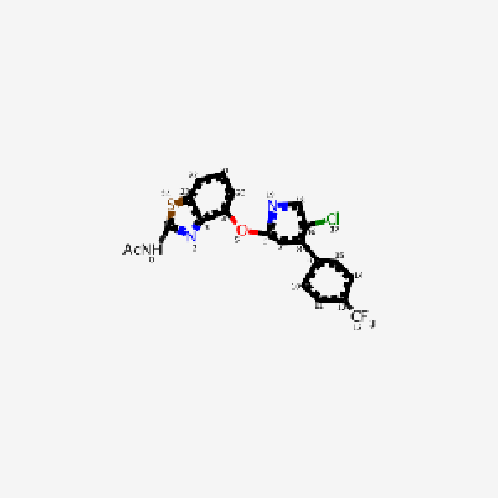 CC(=O)Nc1nc2c(Oc3cc(-c4ccc(C(F)(F)F)cc4)c(Cl)cn3)cccc2s1